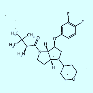 CC(C)(C)[C@H](N)C(=O)N1CC[C@@H]2[C@H]1[C@@H](Oc1ccc(F)c(F)c1)CN2C1CCOCC1